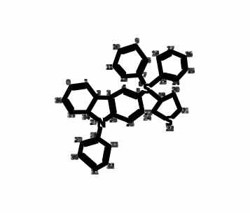 C1=CC2c3cc(S(c4ccccc4)(c4ccccc4)C4CCSC4)ccc3N(c3ccccc3)C2C=C1